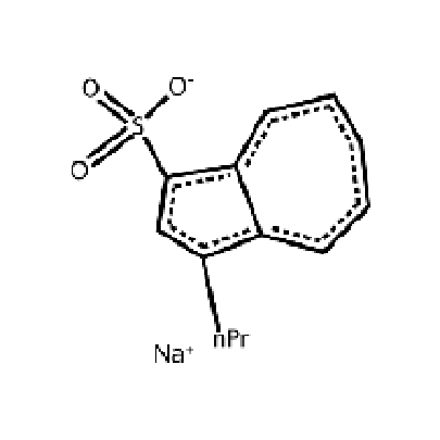 CCCc1cc(S(=O)(=O)[O-])c2cccccc1-2.[Na+]